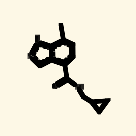 Cc1ccc(C(=O)NCC2CC2)c2cn[nH]c12